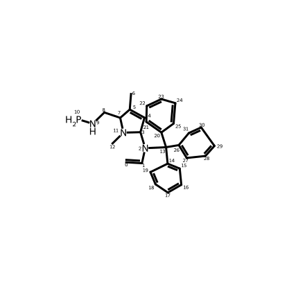 C=CN(C1C=C(C)C(CNP)N1C)C(c1ccccc1)(c1ccccc1)c1ccccc1